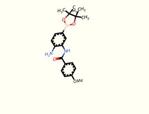 COc1ccc(C(=O)Nc2cc(B3OC(C)(C)C(C)(C)O3)ccc2N)cc1